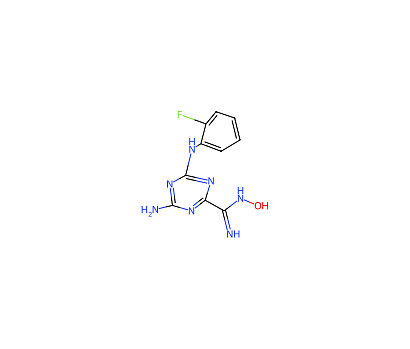 N=C(NO)c1nc(N)nc(Nc2ccccc2F)n1